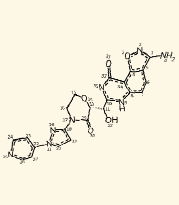 Nc1noc2c1ccc1[nH]c(C(O)[C@H]3OCCN(c4ccn(-c5ccncc5)n4)C3=O)nc(=O)c12